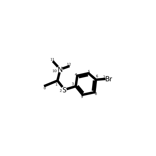 CC(Sc1ccc(Br)cc1)N(C)C